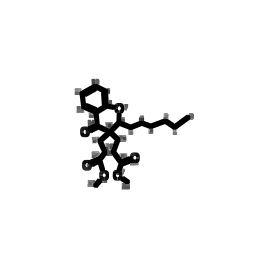 CCCCCCC1Oc2ccccc2C(=O)C1(CCC(=O)OC)CCC(=O)OC